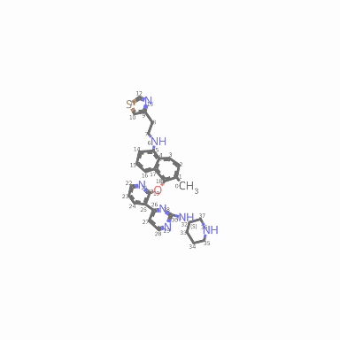 Cc1ccc2c(NCCc3cscn3)cccc2c1Oc1ncccc1-c1ccnc(N[C@H]2CCCNC2)n1